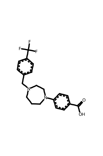 O=C(O)c1ccc(N2CCCN(Cc3ccc(C(F)(F)F)cc3)CC2)cc1